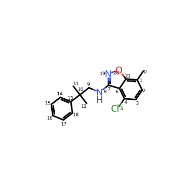 Cc1ccc(Cl)c2c(NCC(C)(C)c3ccccc3)noc12